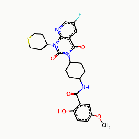 COc1ccc(O)c(C(=O)NC2CCC(n3c(=O)c4cc(F)cnc4n(C4CCSCC4)c3=O)CC2)c1